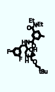 CCN(CC)C(=O)c1cc(C)cc(C(=O)NC(Cc2cc(F)cc(F)c2)C(O)CNC2(COCCC(C)(C)C)CC2)c1